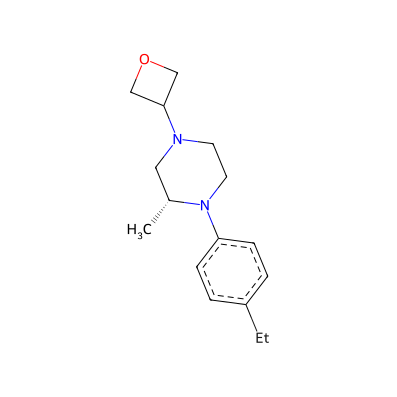 CCc1ccc(N2CCN(C3COC3)C[C@H]2C)cc1